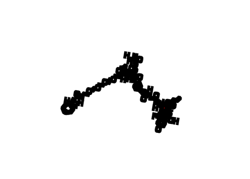 CCCC1O[C@@H]2C[C@H]3[C@@H]4C[C@H](F)C5=CC(=O)C=C[C@]5(C)[C@@]4(F)[C@@H](O)C[C@]3(C)[C@]2(C(=O)COCNC(=O)CNC(=O)OCc2ccc(NC(=O)[C@H](CCCNC(N)=O)NC(=O)[C@@H](NC(=O)CCOCCOCCOCCOCCNC(=O)OCC3[C@H]4CCC#CCC[C@@H]34)C(C)C)cc2)O1